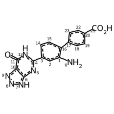 Nc1cc(-c2nc3[nH]nnc3c(=O)[nH]2)ccc1-c1ccc(C(=O)O)cc1